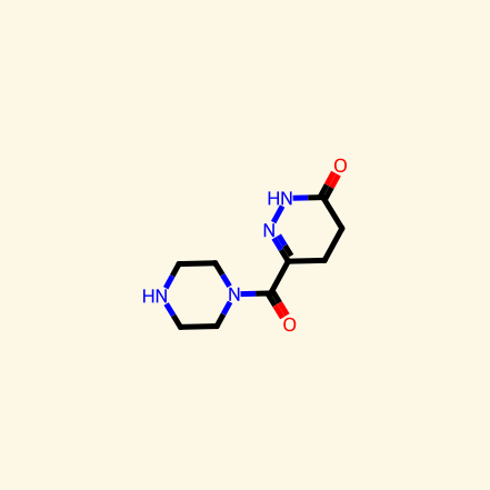 O=C1CCC(C(=O)N2CCNCC2)=NN1